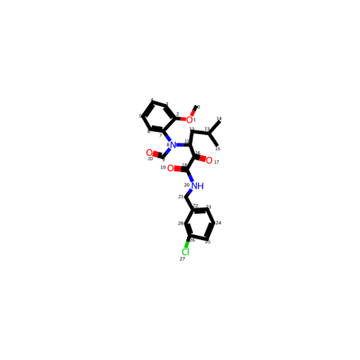 COc1ccccc1N(C=O)C(CC(C)C)C(=O)C(=O)NCc1cccc(Cl)c1